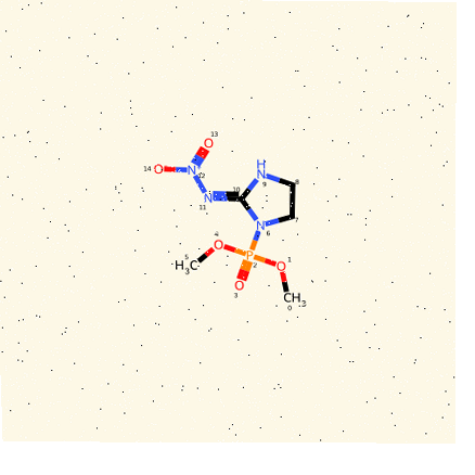 COP(=O)(OC)N1CCNC1=N[N+](=O)[O-]